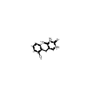 O=c1[nH]c(=S)[nH]cc1Cc1ccccc1Cl